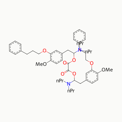 CCCN(CCC)C(Cc1ccc(OC)c(OCCCc2ccccc2)c1)OC(=O)C(=O)OC(Cc1ccc(OC)c(OCCCc2ccccc2)c1)N(CCC)CCC